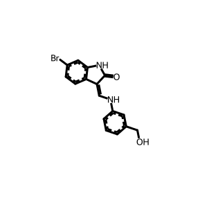 O=C1Nc2cc(Br)ccc2/C1=C/Nc1cccc(CO)c1